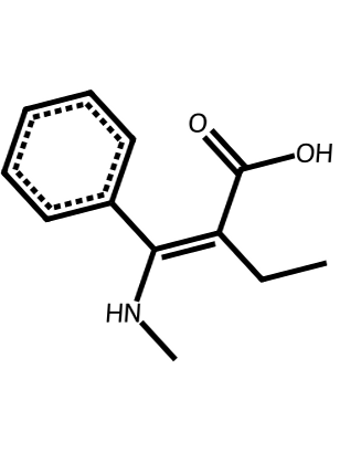 CC/C(C(=O)O)=C(\NC)c1ccccc1